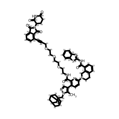 Cc1c(-c2ccc(N3CCc4cccc(C(=O)Nc5nc6ccccc6s5)c4C3)nc2C(=O)NCCOCCOCCOCC#Cc2cccc3c2C(=O)N(C2CCC(=O)NC2=O)C3=O)cnn1CC12CC3CC(CC(C3)C1)C2